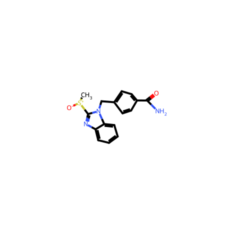 C[S+]([O-])c1nc2ccccc2n1Cc1ccc(C(N)=O)cc1